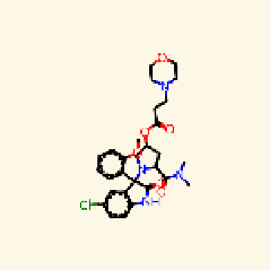 COc1ccccc1C1(N2CC(OC(=O)CCN3CCOCC3)CC2C(=O)N(C)C)C(=O)Nc2ccc(Cl)cc21